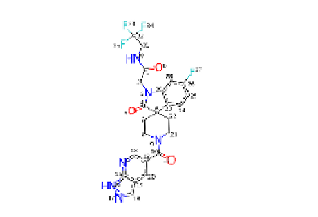 O=C(CN1C(=O)C2(CCN(C(=O)c3cnc4[nH]ncc4c3)CC2)c2ccc(F)cc21)NCC(F)(F)F